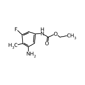 CCOC(=O)Nc1cc(N)c(C)c(F)c1